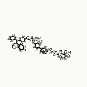 CC/C(=C(/C1=CC=C(OCCN(C)Cc2ccc(-c3cn(CCCCCCn4ccc(=O)c(O)c4C)nn3)cc2)CC1)c1ccccc1)c1ccccc1